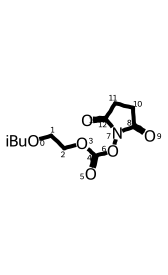 CC(C)COCCOC(=O)ON1C(=O)CCC1=O